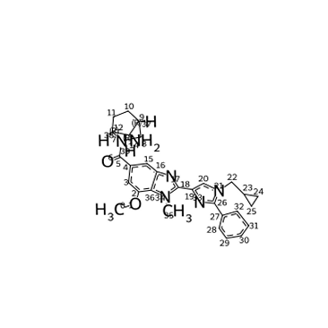 COc1cc(C(=O)N2C[C@H]3CC[C@@H]2[C@@H]3N)cc2nc(-c3cn(CC4CC4)c(-c4ccccc4)n3)n(C)c12